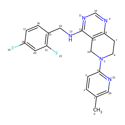 Cc1ccc(N2CCc3ncnc(NCc4ccc(F)cc4F)c3C2)nc1